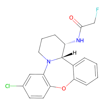 O=C(CF)N[C@H]1CCCN2c3cc(Cl)ccc3Oc3ccccc3[C@@H]12